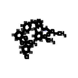 CCOC(=O)/C=C/c1cnc(CN2CCC(c3cccc4c3OC(C)(c3ccc(Cl)cc3F)O4)CC2)n1Cc1cccc(OC)c1